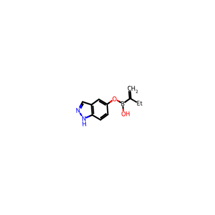 C=C(CC)B(O)Oc1ccc2[nH]ncc2c1